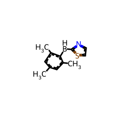 Cc1cc(C)c(Bc2nccs2)c(C)c1